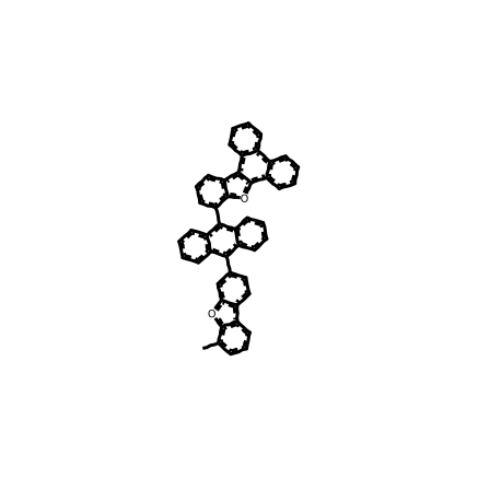 Cc1cccc2c1oc1cc(-c3c4ccccc4c(-c4cccc5c4oc4c6ccccc6c6ccccc6c54)c4ccccc34)ccc12